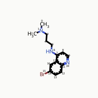 CN(C)CCCNc1ccnc2ccc(Br)cc12